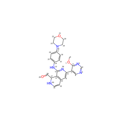 COc1ncncc1-c1cc2c(c(Nc3ccc(N4CCOCC4)cc3)n1)C(C=O)NC=C2